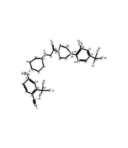 N#Cc1ccc(N[C@H]2CC[C@H](OCC(=O)N3CCN(c4ncc(C(F)(F)F)cc4Cl)CC3)CC2)cc1C(F)(F)F